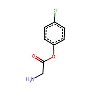 NCC(=O)Oc1ccc(Cl)cc1